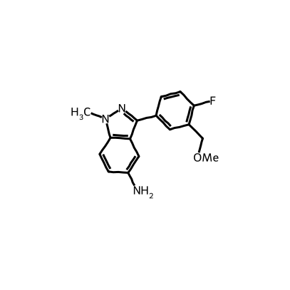 COCc1cc(-c2nn(C)c3ccc(N)cc23)ccc1F